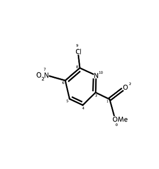 COC(=O)c1ccc([N+](=O)[O-])c(Cl)n1